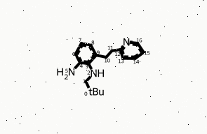 CC(C)(C)CNc1c(N)cccc1CCc1ccccn1